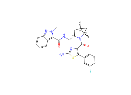 Cn1nc2ccccc2c1C(=O)NC[C@@H]1C[C@@H]2C[C@@H]2N1C(=O)c1nc(N)sc1-c1cccc(F)c1